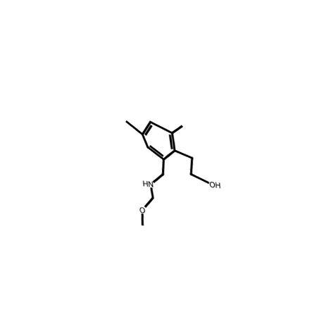 COCNCc1cc(C)cc(C)c1CCO